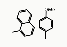 COc1ccc(C)cc1.Cc1cccc2ccccc12